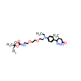 CCN(CCOCCOCCNC(=O)OC(C)(C)C)c1ccc(C2=NNC(=O)C[C@H]2C)cc1